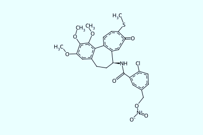 COc1cc2c(c(OC)c1OC)-c1ccc(SC)c(=O)cc1[C@@H](NC(=O)c1cc(CO[N+](=O)[O-])ccc1Cl)CC2